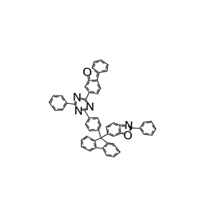 c1ccc(-c2nc(-c3ccc(C4(c5ccc6nc(-c7ccccc7)oc6c5)c5ccccc5-c5ccccc54)cc3)nc(-c3ccc4c(c3)oc3ccccc34)n2)cc1